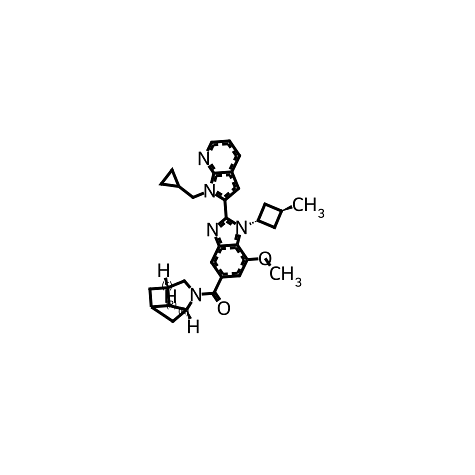 COc1cc(C(=O)N2C[C@H]3CC4C[C@@H]2[C@H]43)cc2nc(-c3cc4cccnc4n3CC3CC3)n([C@H]3C[C@H](C)C3)c12